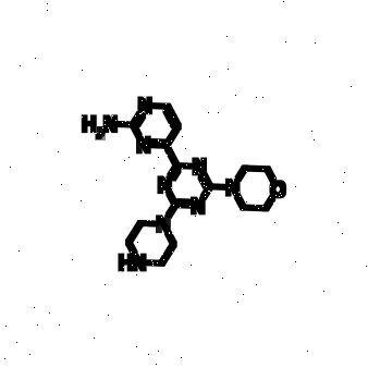 Nc1nccc(-c2nc(N3CCNCC3)nc(N3CCOCC3)n2)n1